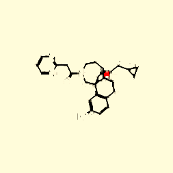 O=C(Cc1ncccn1)N1CCCC2(O)C3Cc4ccc(O)cc4C2(CCN3CC2CC2)C1